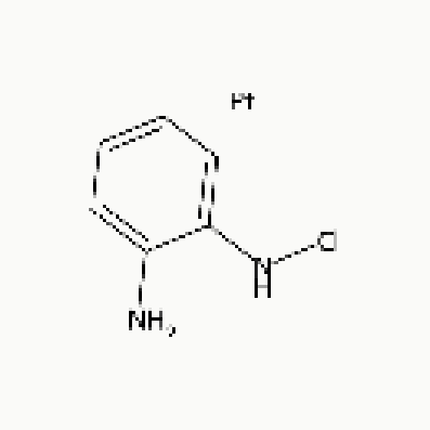 Nc1ccccc1NCl.[Pt]